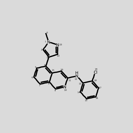 Cn1cc(-c2cccc3cnc(Nc4cc[c]cc4Cl)cc23)cn1